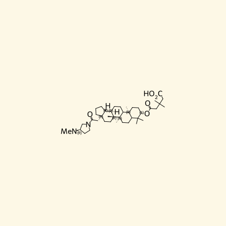 CN[C@@H]1CCN(C(=O)C[C@]23CCC[C@@H]2[C@H]2CCC4[C@@]5(C)CC[C@H](OC(=O)CC(C)(C)CC(=O)O)C(C)(C)C5CC[C@@]4(C)[C@]2(C)CC3)C1